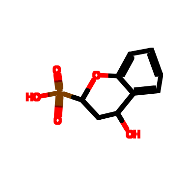 O=S(=O)(O)C1CC(O)c2ccccc2O1